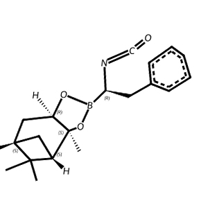 CC1(C)[C@@H]2C[C@H]3OB([C@H](Cc4ccccc4)N=C=O)O[C@@]3(C)[C@H]1C2